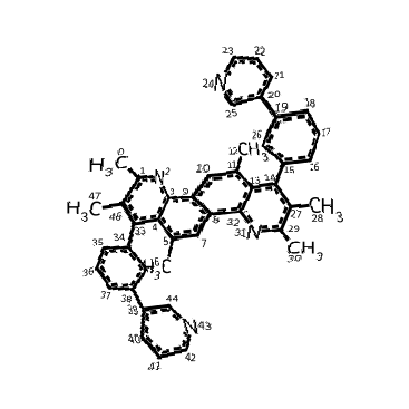 Cc1nc2c(c(C)cc3c2cc(C)c2c(-c4cccc(-c5cccnc5)c4)c(C)c(C)nc23)c(-c2cccc(-c3cccnc3)c2)c1C